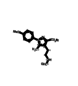 CCOC(=O)c1nn(-c2ccc(OC)cc2)c(C)c1CCNC=O